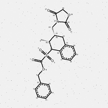 C[C@H]1C(S(=O)(=O)C(=O)OCc2ccccc2)c2ccccc2C[C@H]1CN1C(=O)COC1=O